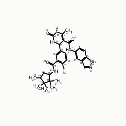 CC1=C(C(=O)Nc2ccc3[nH]ncc3c2)C(c2ccc(F)c(C(=O)NC3CC(C)C(C)(C)C3(C)C)c2)NC(=O)N1